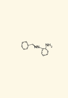 Nc1ccccc1NC=Cc1ccccc1